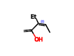 C=C(O)/C(=C\C)CC